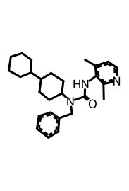 Cc1ccnc(C)c1NC(=O)N(Cc1ccccc1)C1CCC(C2CCCCC2)CC1